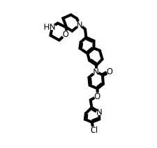 O=c1cc(OCc2ccc(Cl)cn2)ccn1C1=Cc2ccc(CN3CCCC4(CNCCO4)C3)cc2CC1